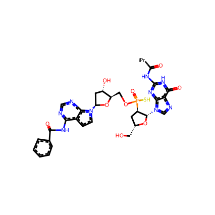 CC(C)C(=O)Nc1nc2c(ncn2[C@@H]2O[C@H](CO)C[C@H]2P(=O)(S)OC[C@H]2O[C@@H](n3ccc4c(NC(=O)c5ccccc5)ncnc43)C[C@@H]2O)c(=O)[nH]1